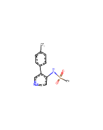 CCS(=O)(=O)Nc1ccncc1-c1ccc(C(F)(F)F)cc1